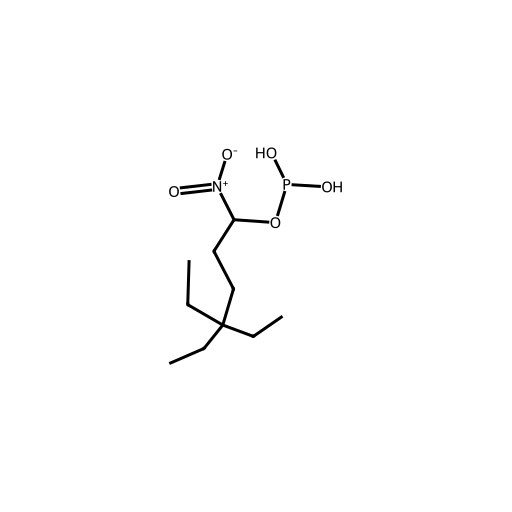 CCC(CC)(CC)CCC(OP(O)O)[N+](=O)[O-]